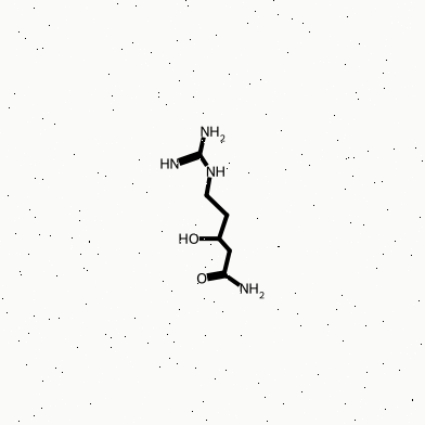 N=C(N)NCCC(O)CC(N)=O